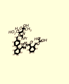 CCCc1nc(C(C)(C)O)c(C(=O)O)n1Cc1ccc(-c2ccccc2-c2nnn(C(=O)c3ccccc3CON(O)O)n2)cc1